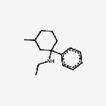 CCNC1(c2ccccc2)CCCC(C)C1